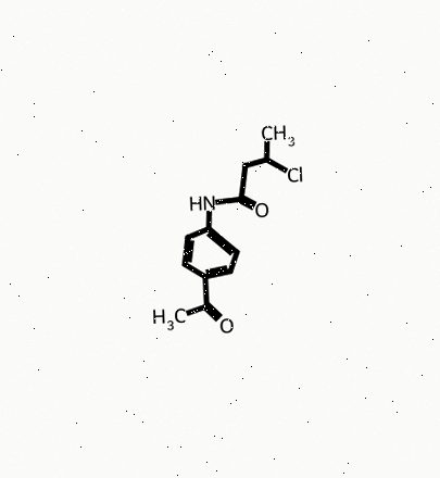 CC(=O)c1ccc(NC(=O)CC(C)Cl)cc1